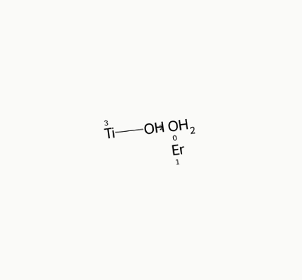 O.[Er].[OH][Ti]